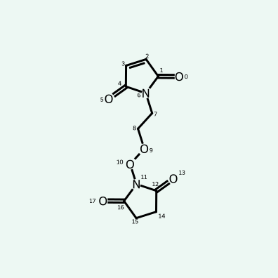 O=C1C=CC(=O)N1CCOON1C(=O)CCC1=O